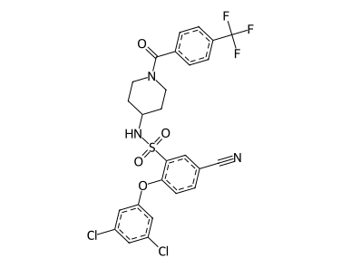 N#Cc1ccc(Oc2cc(Cl)cc(Cl)c2)c(S(=O)(=O)NC2CCN(C(=O)c3ccc(C(F)(F)F)cc3)CC2)c1